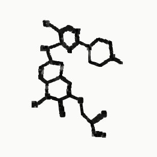 CNC(=O)COC1=CC2C=C(Nc3nc(N4CCN(C)CC4)ncc3Cl)C=CC2N(C(C)C)C1=O